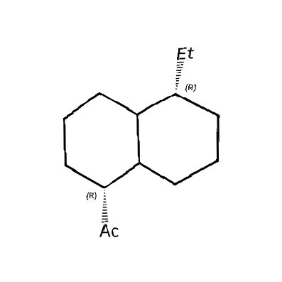 CC[C@@H]1CCCC2C1CCC[C@H]2C(C)=O